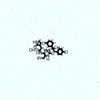 CC(C)CC(NC(=O)OC(c1ccc(Cl)cc1)C(C)(C)c1cccc(Cl)c1)C(=O)NC(C=O)CC1CCNC1=O